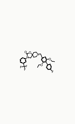 CCOc1cc(CN2CCC3(CC2)CN(c2cccc(C(F)(F)F)c2)C(=O)O3)cc(OCC)c1-c1ccc(F)cc1